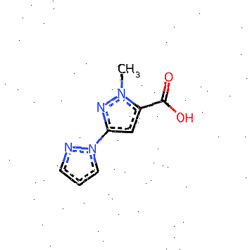 Cn1nc(-n2cccn2)cc1C(=O)O